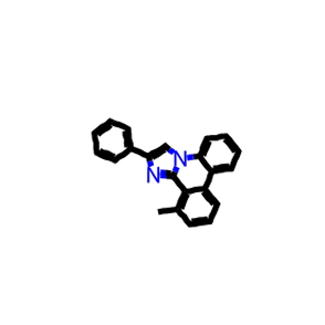 Cc1cccc2c3ccccc3n3cc(-c4ccccc4)nc3c12